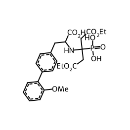 CCOC(=O)CC(CC(=O)OCC)(NC(Cc1ccc(-c2ccccc2OC)cc1)C(=O)O)P(=O)(O)O